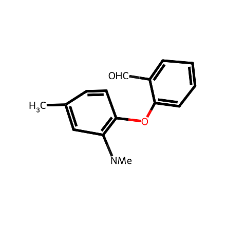 CNc1cc(C)ccc1Oc1ccccc1C=O